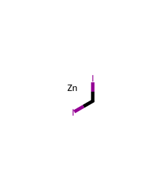 ICI.[Zn]